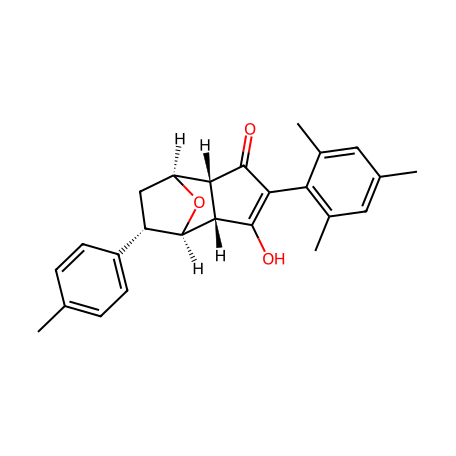 Cc1ccc([C@@H]2C[C@@H]3O[C@H]2[C@H]2C(O)=C(c4c(C)cc(C)cc4C)C(=O)[C@H]23)cc1